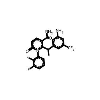 CC(c1cc(N)cc(C(F)(F)F)c1)c1c(C(N)=O)ccc(=O)n1-c1cccc(F)c1F